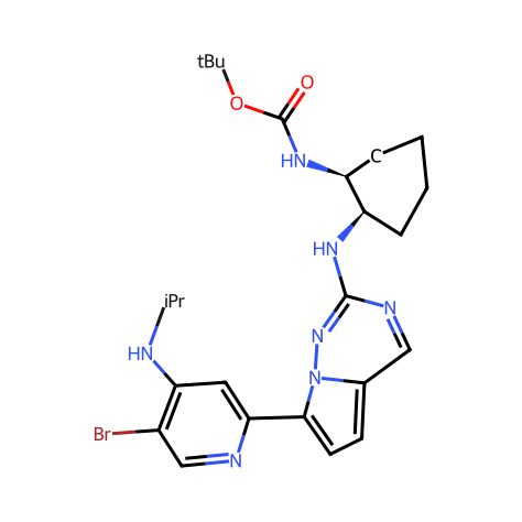 CC(C)Nc1cc(-c2ccc3cnc(N[C@@H]4CCCC[C@@H]4NC(=O)OC(C)(C)C)nn23)ncc1Br